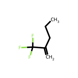 C=C(CCC)C(F)(F)F